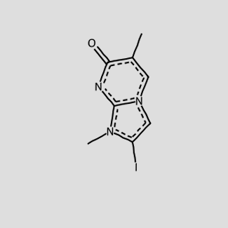 Cc1cn2cc(I)n(C)c2nc1=O